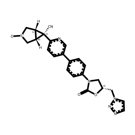 N#C[C@]1(c2ccc(-c3ccc(N4C[C@H](Cn5ccnn5)OC4=O)cc3)cn2)[C@@H]2C[S+]([O-])C[C@@H]21